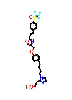 [O-][S+](c1ccc(C=Cc2nc(COc3ccc(CCCCn4ccnc4CCO)cc3)co2)cc1)C(F)(F)F